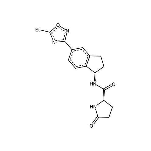 CCc1nc(-c2ccc3c(c2)CC[C@H]3NC(=O)[C@H]2CCC(=O)N2)no1